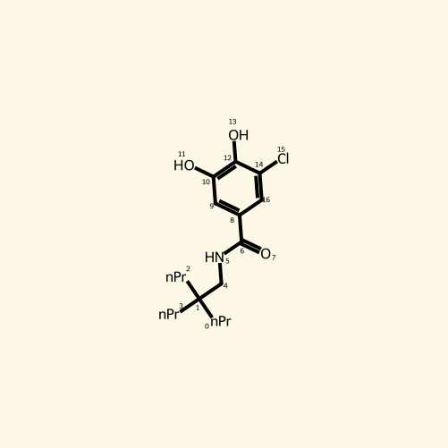 CCCC(CCC)(CCC)CNC(=O)c1cc(O)c(O)c(Cl)c1